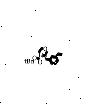 C=Cc1cccc(C[C@@H]2COCCN2C(=O)OC(C)(C)C)c1